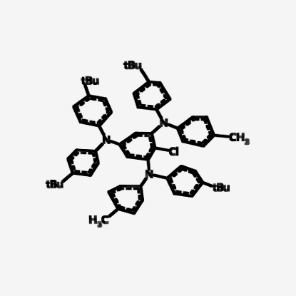 Cc1ccc(N(c2ccc(C(C)(C)C)cc2)c2cc(N(c3ccc(C(C)(C)C)cc3)c3ccc(C(C)(C)C)cc3)cc(N(c3ccc(C)cc3)c3ccc(C(C)(C)C)cc3)c2Cl)cc1